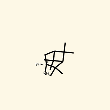 CC1(C)C2C[C@H](N)C(C)(C)C1C2(C)C